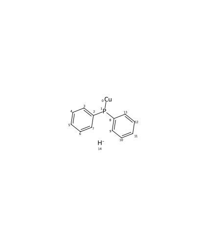 [Cu][P](c1ccccc1)c1ccccc1.[H-]